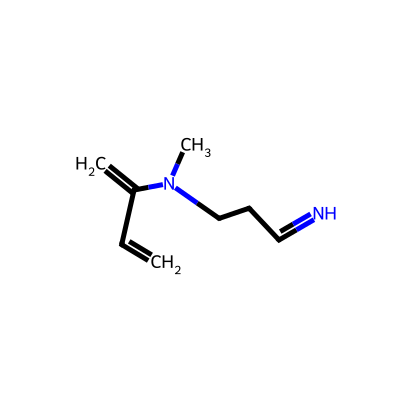 C=CC(=C)N(C)CCC=N